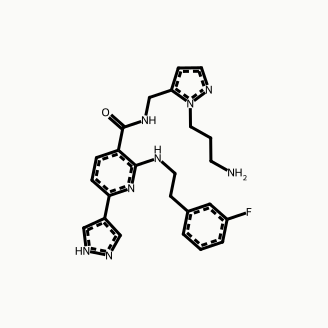 NCCCn1nccc1CNC(=O)c1ccc(-c2cn[nH]c2)nc1NCCc1cccc(F)c1